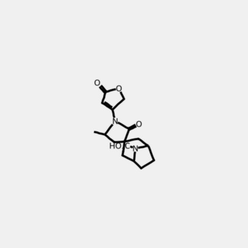 CC1CC2(CC3CCC(C2)N3C(=O)O)C(=O)N1C1=CC(=O)OC1